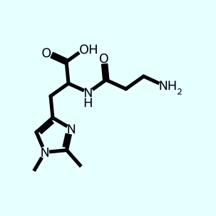 Cc1nc(CC(NC(=O)CCN)C(=O)O)cn1C